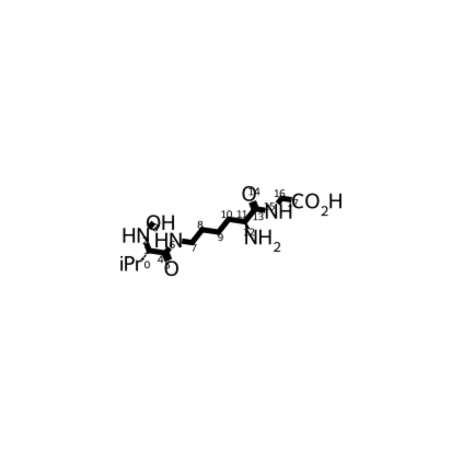 CC(C)[C@H](NO)C(=O)NCCCC[C@H](N)C(=O)NCC(=O)O